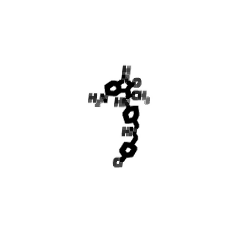 CC(Nc1ccc(CNCc2ccc(Cl)cc2)cc1)=C1C(=O)Nc2ccc(N)cc21